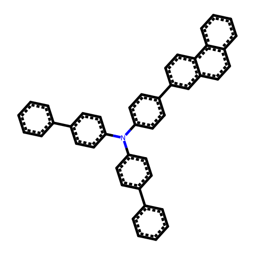 c1ccc(-c2ccc(N(c3ccc(-c4ccccc4)cc3)c3ccc(-c4ccc5c(ccc6ccccc65)c4)cc3)cc2)cc1